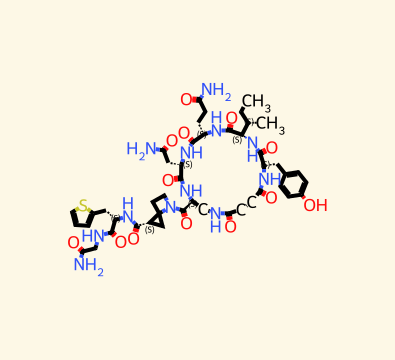 CC[C@H](C)[C@@H]1NC(=O)[C@H](Cc2ccc(O)cc2)NC(=O)CCC(=O)NC[C@@H](C(=O)N2CCC23C[C@@H]3C(=O)N[C@@H](Cc2cccs2)C(=O)NCC(N)=O)NC(=O)[C@H](CC(N)=O)NC(=O)[C@H](CCC(N)=O)NC1=O